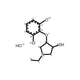 CCN1CC(O)C(Oc2c(Cl)cccc2Cl)C1.Cl